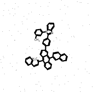 C=C(/C=C\c1ccccc1)c1c2ccccc2c(-c2ccc3ccccc3c2)c2cc(-c3ccc(-c4nc5ccccc5n4-c4cccc(C)c4)cc3)ccc12